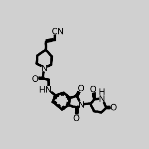 N#CC=CC1CCN(C(=O)CNc2ccc3c(c2)C(=O)N(C2CCC(=O)NC2=O)C3=O)CC1